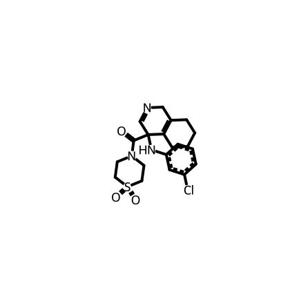 O=C(N1CCS(=O)(=O)CC1)C1(Nc2cccc(Cl)c2)C=NCC2=C1CCCC2